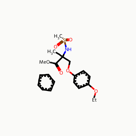 CCOc1ccc(OCC(C)(NS(C)(=O)=O)C(=O)OC)cc1.c1ccccc1